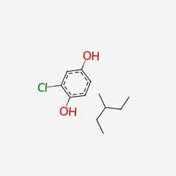 CCC(C)CC.Oc1ccc(O)c(Cl)c1